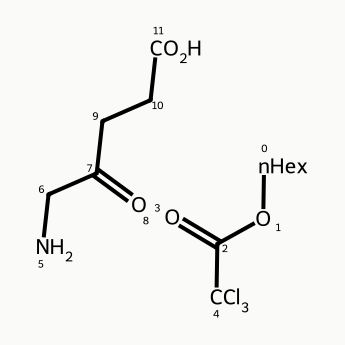 CCCCCCOC(=O)C(Cl)(Cl)Cl.NCC(=O)CCC(=O)O